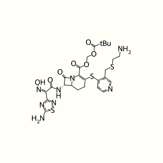 CC(C)(C)C(=O)OCOC(=O)C1=C(Sc2ccncc2CSCCN)CCC2[C@H](NC(=O)/C(=N\O)c3nsc(N)n3)C(=O)N12